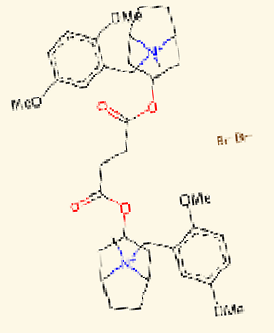 COc1ccc(OC)c(C[N+]2(C)C3CCC2CC(OC(=O)CCC(=O)OC2CC4CCC(C2)[N+]4(C)Cc2cc(OC)ccc2OC)C3)c1.[Br-].[Br-]